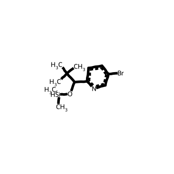 C[SiH](C)OC(c1ccc(Br)cn1)C(C)(C)C